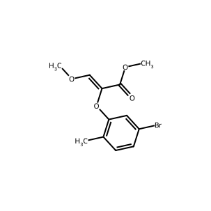 CO/C=C(\Oc1cc(Br)ccc1C)C(=O)OC